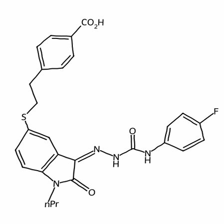 CCCN1C(=O)C(=NNC(=O)Nc2ccc(F)cc2)c2cc(SCCc3ccc(C(=O)O)cc3)ccc21